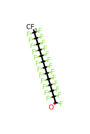 O=C(F)C(F)(F)C(F)(F)C(F)(F)C(F)(F)C(F)(F)C(F)(F)C(F)(F)C(F)(F)C(F)(F)C(F)(F)C(F)(F)C(F)(F)C(F)(F)F